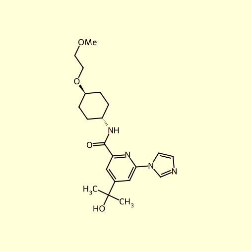 COCCO[C@H]1CC[C@H](NC(=O)c2cc(C(C)(C)O)cc(-n3ccnc3)n2)CC1